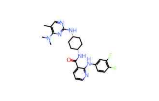 Cc1cnc(N[C@H]2CC[C@@H](NC(=O)c3cccnc3Nc3ccc(F)c(F)c3)CC2)nc1N(C)C